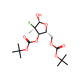 CC(C)(C)OC(=O)OC[C@H]1O[C@H](O)[C@](C)(F)[C@@H]1OC(=O)OC(C)(C)C